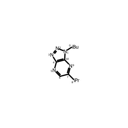 CCC(C)n1nnc2ncc(C(C)C)nc21